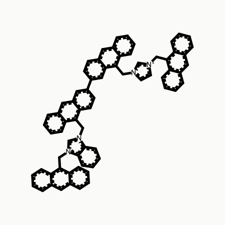 c1ccc2c(Cn3cc[n+](Cc4c5ccccc5cc5ccccc45)c3)c3cc(-c4ccc5c(Cn6c[n+](Cc7c8ccccc8cc8ccccc78)c7ccccc76)c6ccccc6cc5c4)ccc3cc2c1